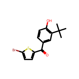 CC(C)(C)c1cc(C(=O)c2ccc(Br)s2)ccc1O